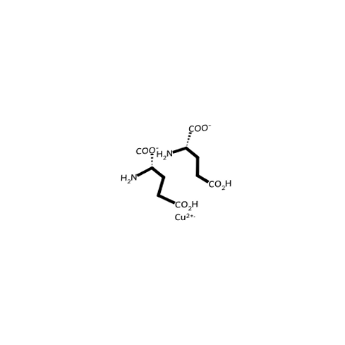 N[C@@H](CCC(=O)O)C(=O)[O-].N[C@@H](CCC(=O)O)C(=O)[O-].[Cu+2]